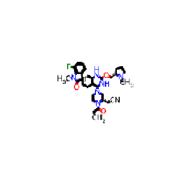 C=CC(=O)N1CCN(C2NC(OC[C@H]3CCCN3C)NC3C[C@]4(CCC32)C(=O)N(C)c2c(F)cccc24)C[C@H]1CC#N